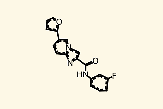 O=C(Nc1cccc(F)c1)c1cn2cc(-c3ccco3)ccc2n1